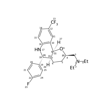 CCN(CC)C[C@H]1CC[C@@H]2[C@H](O1)c1cc(C(F)(F)F)ccc1N[C@H]2c1ccc(F)cc1